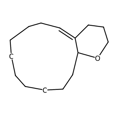 C1=C2CCCOC2CCCCCCCCC1